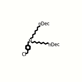 CCCCCCCCCCCCCCCCCCN(CCCCCCCCCCCCCCCCCC)Cc1ccc(CCl)cc1